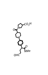 CNC(=O)C(CCC=O)c1ccc(N2CCC(C(=O)N3CCC(C(=O)O)C3)CC2)cc1